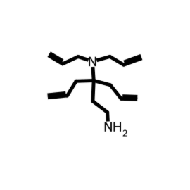 C=CCN(CC=C)C(CC=C)(CC=C)CCN